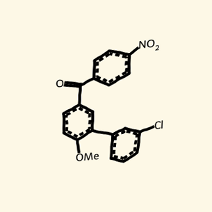 COc1ccc(C(=O)c2ccc([N+](=O)[O-])cc2)cc1-c1cccc(Cl)c1